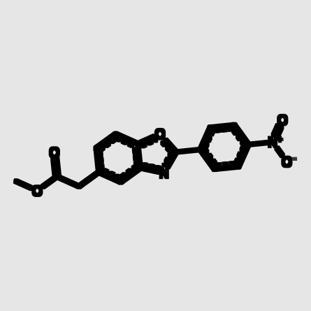 COC(=O)Cc1ccc2oc(-c3ccc([N+](=O)[O-])cc3)nc2c1